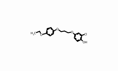 CCOc1ccc(OCCCOc2ccc(O)c(Cl)c2)cc1